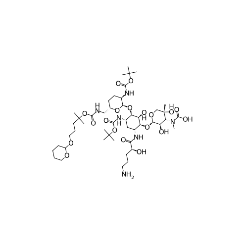 CN(C(=O)O)[C@@H]1[C@@H](O)[C@@H](O[C@@H]2[C@H](O)[C@H](O[C@H]3O[C@H](CNC(=O)OC(C)(C)CCCOC4CCCCO4)CC[C@H]3NC(=O)OC(C)(C)C)[C@@H](NC(=O)OC(C)(C)C)C[C@H]2NC(=O)[C@@H](O)CCCN)OC[C@]1(C)O